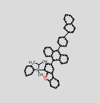 CC(C)[Si](C)(c1ccccc1)c1cc(-c2c3ccccc3c(-c3ccc(-c4ccc5ccccc5c4)cc3)c3ccccc23)cc2c1oc1ccccc12